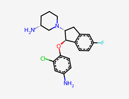 Nc1ccc(O[C@@H]2c3ccc(F)cc3C[C@H]2N2CCC[C@@H](N)C2)c(Cl)c1